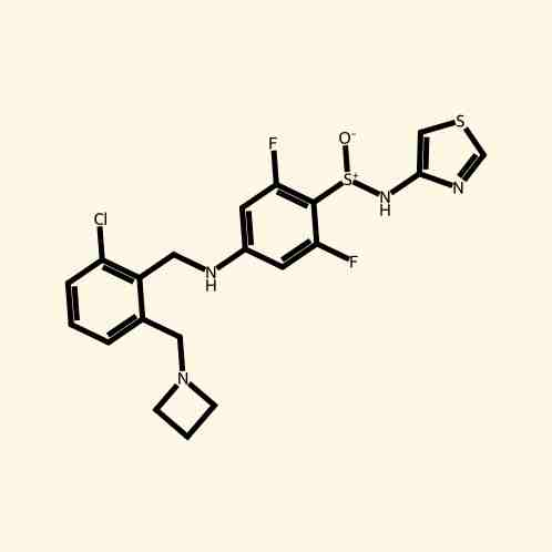 [O-][S+](Nc1cscn1)c1c(F)cc(NCc2c(Cl)cccc2CN2CCC2)cc1F